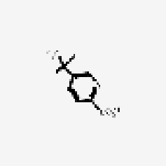 O=C(O)c1ccc(C(F)(F)C(F)(F)F)cn1